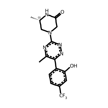 Cc1nc(N2CC(=O)N[C@@H](C)C2)nnc1-c1ccc(C(F)(F)F)cc1O